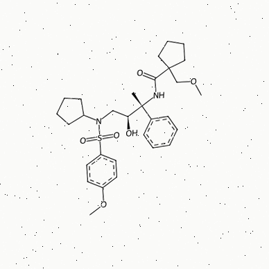 COCC1(C(=O)N[C@](C)(c2ccccc2)[C@@H](O)CN(C2CCCC2)S(=O)(=O)c2ccc(OC)cc2)CCCC1